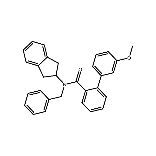 COc1cccc(-c2ccccc2C(=O)N(Cc2ccccc2)C2Cc3ccccc3C2)c1